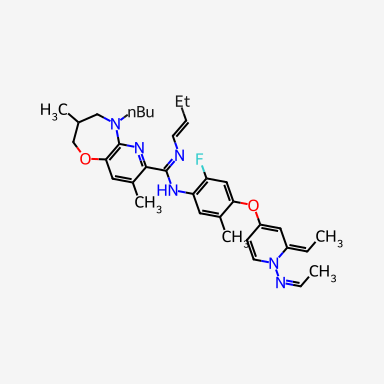 C/C=N\N1C=CC(Oc2cc(F)c(N/C(=N/C=C/CC)c3nc4c(cc3C)OCC(C)CN4CCCC)cc2C)=C/C1=C\C